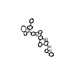 C1=C(Nc2cccc3c2oc2ccccc23)CC2C(=C1)Nc1cc3c4cccc5c6cc(N(c7ccc(-c8ccccc8)cc7)c7cccc8c7OC/C=C\C=C/C8)ccc6n(c3cc1-c1cccc2c1)c54